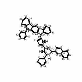 c1ccc(C2NC(c3ccc4ccccc4c3)NC(c3ccc(-n4c5ccccc5c5cc6c7ccccc7n(-c7ccccc7)c6cc54)[nH]3)N2)cc1